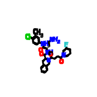 Cc1cc(NC(=O)[C@H](CCN)NC(=O)[C@@H]2Cc3ccccc3CN2C(=O)CCC(=O)N2CCCC(F)C2)ccc1Cl